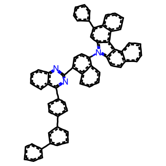 c1ccc(-c2cccc(-c3ccc(-c4nc(-c5ccc(-n6c7ccc8ccccc8c7c7c8ccccc8c(-c8ccccc8)cc76)c6ccccc56)nc5ccccc45)cc3)c2)cc1